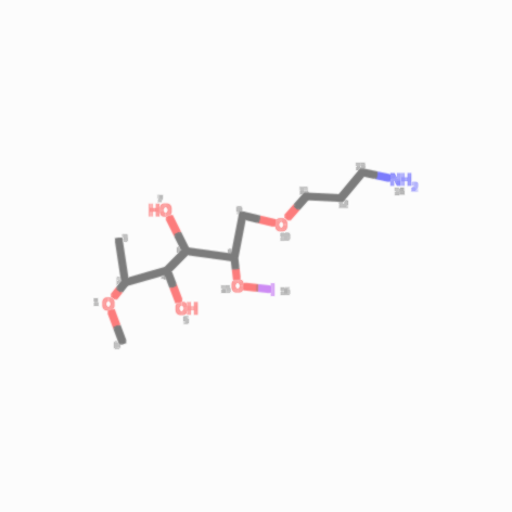 COC(C)C(O)C(O)C(COCCCN)OI